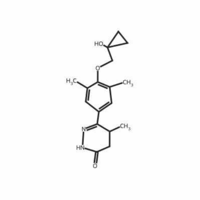 Cc1cc(C2=NNC(=O)CC2C)cc(C)c1OCC1(O)CC1